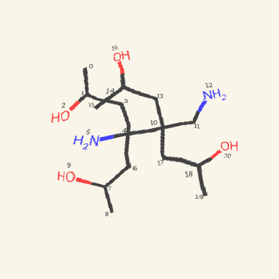 CC(O)CC(N)(CC(C)O)C(CN)(CC(C)O)CC(C)O